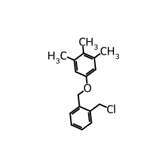 Cc1cc(OCc2ccccc2CCl)cc(C)c1C